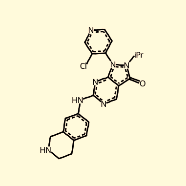 CC(C)n1c(=O)c2cnc(Nc3ccc4c(c3)CNCC4)nc2n1-c1ccncc1Cl